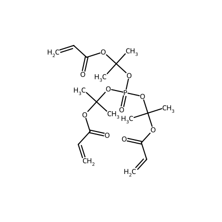 C=CC(=O)OC(C)(C)OP(=O)(OC(C)(C)OC(=O)C=C)OC(C)(C)OC(=O)C=C